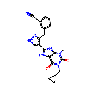 Cn1c(=O)n(CC2CC2)c(=O)c2[nH]c(-c3c[nH]nc3Cc3cccc(C#N)c3)nc21